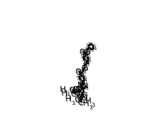 CC(C)(C)OC(=O)N(Cc1cnc(N2CCN(C(=O)CCOCCN3CCN(C(=O)OCc4ccccc4)CC3)CC2)nc1)C(=O)OC(C)(C)C